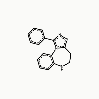 c1ccc(-c2nnc3n2-c2ccccc2NCC3)cc1